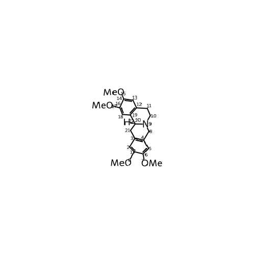 COc1cc2c(cc1OC)CN1CCc3cc(OC)c(OC)cc3[C@H]1C2